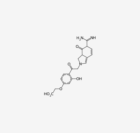 N=C(N)C1C=CC2=CN(CC(=O)c3ccc(OCC(=O)O)cc3O)CC2C1=O